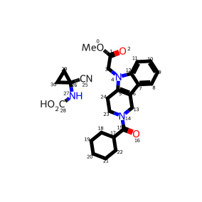 COC(=O)Cn1c2c(c3ccccc31)CN(C(=O)C1CCCCC1)CC2.N#CC1(NC(=O)O)CC1